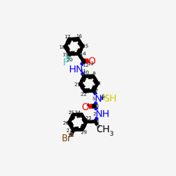 CC(NC(=O)N(S)c1ccc(NC(=O)c2ccccc2F)cc1)c1cccc(Br)c1